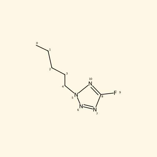 CCCCCn1nnc(F)n1